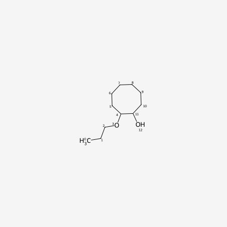 CCCOC1CCCCCCC1O